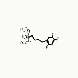 CO[Si](O)(CCCCc1cc(F)c(F)cc1F)OC